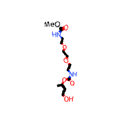 COC(=O)NCCOCCOCCNC(=O)OC(C)CCO